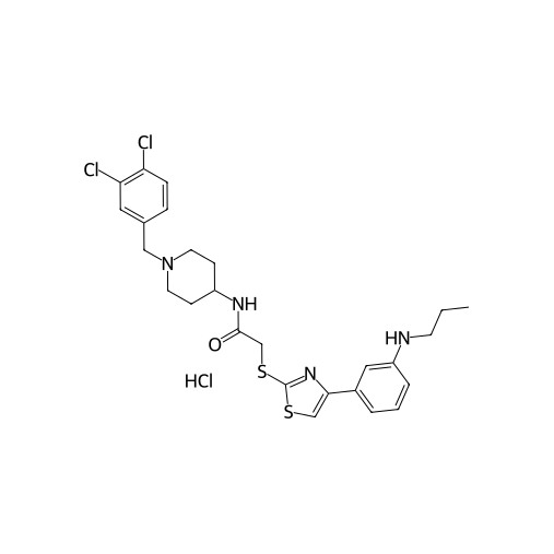 CCCNc1cccc(-c2csc(SCC(=O)NC3CCN(Cc4ccc(Cl)c(Cl)c4)CC3)n2)c1.Cl